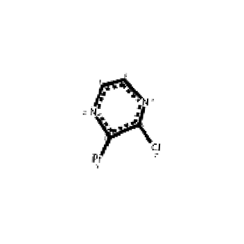 CC(C)c1nccnc1Cl